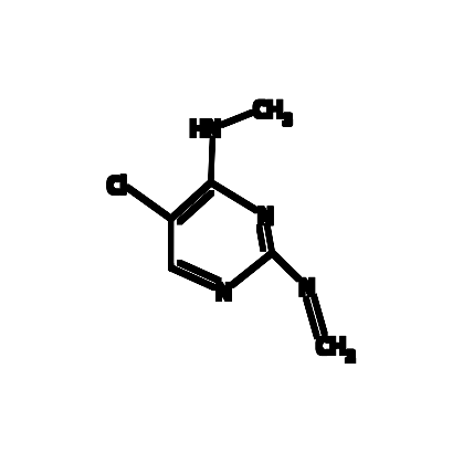 C=Nc1ncc(Cl)c(NC)n1